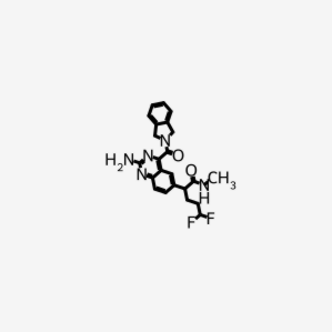 CNC(=O)C(CCC(F)F)c1ccc2nc(N)nc(C(=O)N3Cc4ccccc4C3)c2c1